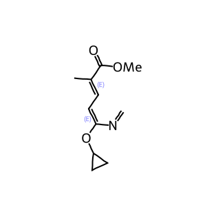 C=N/C(=C\C=C(/C)C(=O)OC)OC1CC1